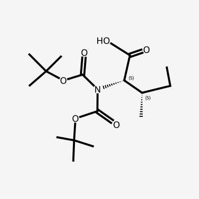 CC[C@H](C)[C@@H](C(=O)O)N(C(=O)OC(C)(C)C)C(=O)OC(C)(C)C